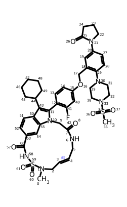 CN1C/C=C/CNC(=O)Cn2c(-c3ccc(OCc4cc(N5CCCC5=O)ccc4N4CCN(S(C)(=O)=O)CC4)cc3F)c(C3CCCCC3)c3ccc(cc32)C(=O)NS1(=O)=O